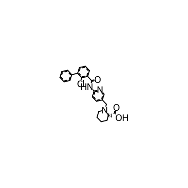 O=C(Nc1ccc(CN2CCCC[C@H]2C(=O)O)cn1)c1cccc(-c2ccccc2)c1Cl